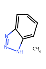 C.c1ccc2[nH]nnc2c1